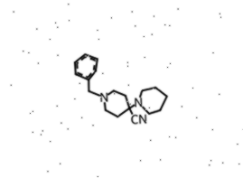 N#CC1(N2CCCCC2)CCN(Cc2ccccc2)CC1